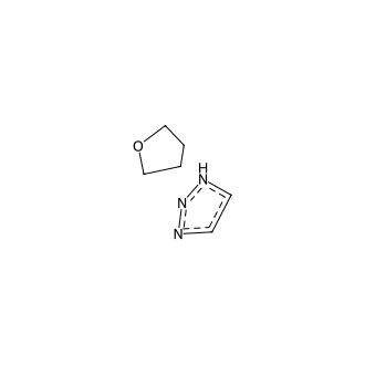 C1CCOC1.c1c[nH]nn1